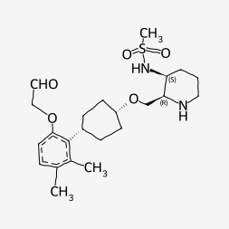 Cc1ccc(OCC=O)c([C@H]2CC[C@@H](OC[C@@H]3NCCC[C@@H]3NS(C)(=O)=O)CC2)c1C